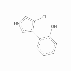 Oc1ccccc1-c1c[nH]cc1Cl